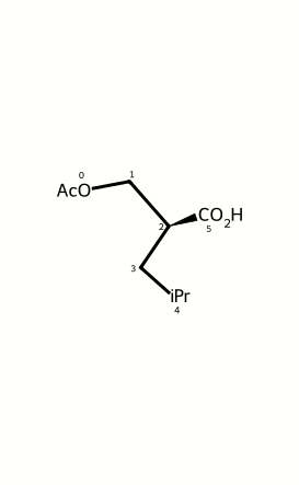 CC(=O)OC[C@H](CC(C)C)C(=O)O